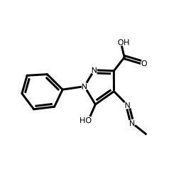 CN=Nc1c(C(=O)O)nn(-c2ccccc2)c1O